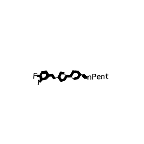 CCCCCC=C[C@H]1CC[C@H]([C@H]2CC[C@H](CCc3ccc(F)c(F)c3)CC2)CC1